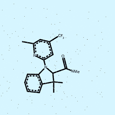 CNC(=O)C1N(c2cc(C(F)(F)F)cc(C)n2)c2ccccc2C1(C)C